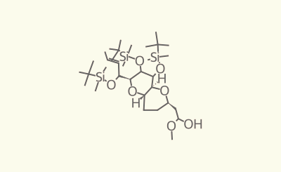 C/C=C/C(O[Si](C)(C)C(C)(C)C)[C@@H]1O[C@H]2CC[C@H](CC(O)OC)O[C@@H]2C(O[Si](C)(C)C(C)(C)C)C1O[Si](C)(C)C(C)(C)C